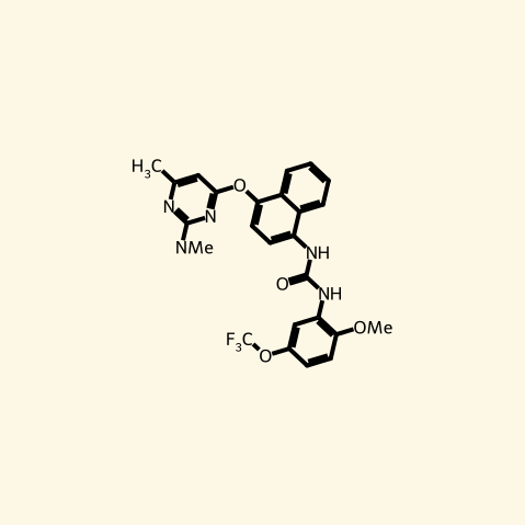 CNc1nc(C)cc(Oc2ccc(NC(=O)Nc3cc(OC(F)(F)F)ccc3OC)c3ccccc23)n1